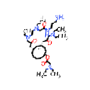 CCN(CC)CC(=O)C[C@@H]1CC[C@H](OC(=O)CN(CC)CC)CCCC[C@H](CC(=O)CN(CC)CCN(CC)CC(=O)NCCCN)C1